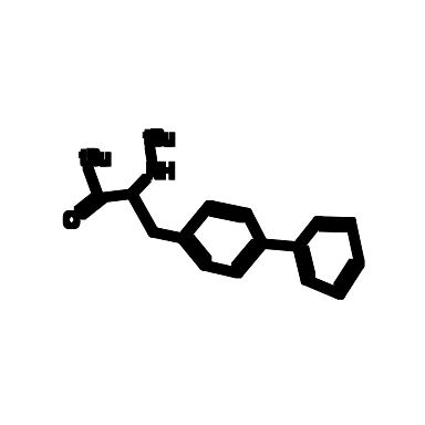 CC(C)(C)NC(Cc1ccc(-c2ccccc2)cc1)C(=O)C(C)(C)C